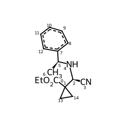 CCOC(=O)C1([C@H](C#N)N[C@@H](C)c2ccccc2)CC1